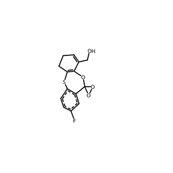 OCC1=CCCC2=C1OC1(OO1)c1cc(F)ccc1S2